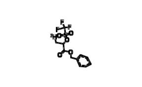 [2H]CC(OS(=O)(=O)C(F)(F)F)C(=O)OCc1ccccc1